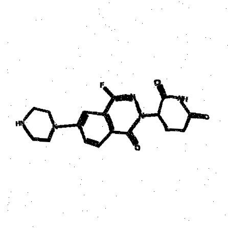 O=C1CCC(n2nc(F)c3cc(N4CCNCC4)ccc3c2=O)C(=O)N1